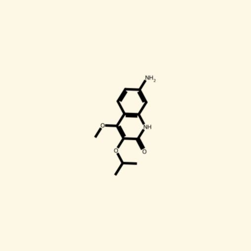 COc1c(OC(C)C)c(=O)[nH]c2cc(N)ccc12